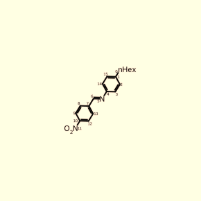 CCCCCCc1ccc(N=Cc2ccc([N+](=O)[O-])cc2)cc1